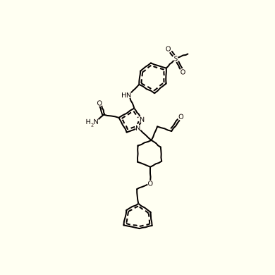 CS(=O)(=O)c1ccc(Nc2nn(C3(CC=O)CCC(OCc4ccccc4)CC3)cc2C(N)=O)cc1